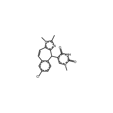 Cc1nc2c(n1C)C=Cc1cc(Cl)ccc1C2c1cn(C)c(=O)[nH]c1=O